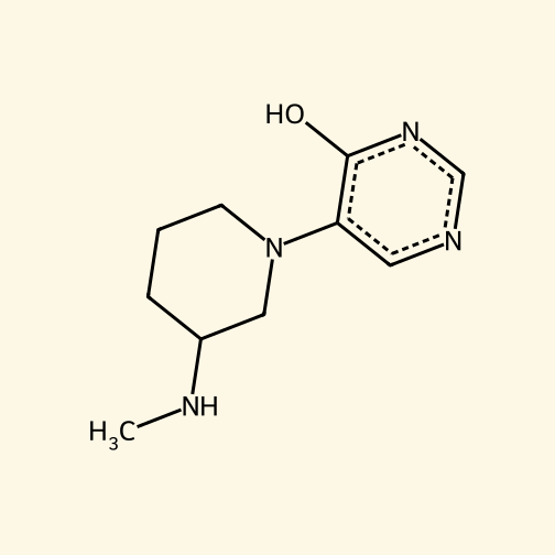 CNC1CCCN(c2cncnc2O)C1